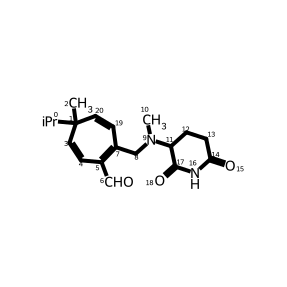 CC(C)C1(C)C=CC(C=O)=C(CN(C)C2CCC(=O)NC2=O)C=C1